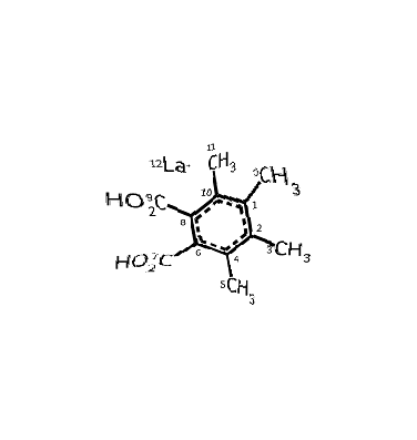 Cc1c(C)c(C)c(C(=O)O)c(C(=O)O)c1C.[La]